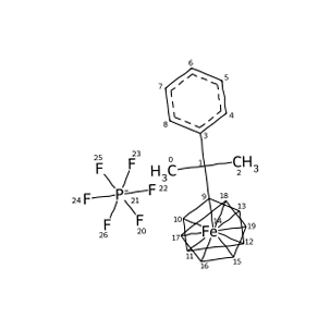 CC(C)(c1ccccc1)[C]12[CH]3[CH]4[CH]5[CH]1[Fe]45321678[CH]2[CH]1[CH]6[CH]7[CH]28.F[P-](F)(F)(F)(F)F